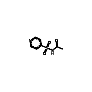 CC(=O)NS(=O)(=O)c1ccncc1